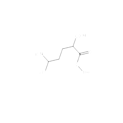 CCCC(N)CCC(C(=O)O)C(=O)OC(C)(C)C